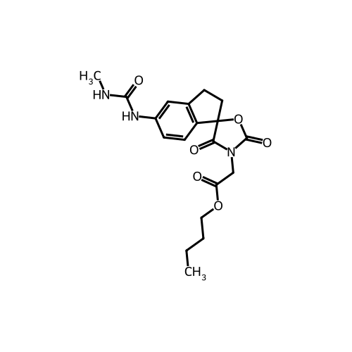 CCCCOC(=O)CN1C(=O)OC2(CCc3cc(NC(=O)NC)ccc32)C1=O